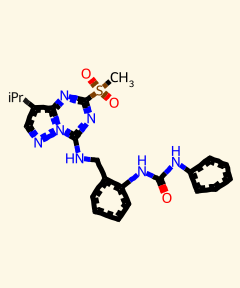 CC(C)c1cnn2c(NCc3ccccc3NC(=O)Nc3ccccc3)nc(S(C)(=O)=O)nc12